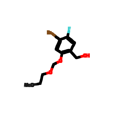 COCCOCOc1cc(Br)c(F)cc1CO